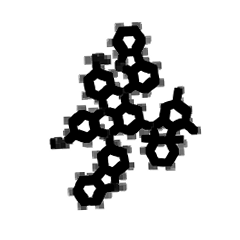 Cc1cc(C)c2c(c1)N(c1cc3c4c(c1)N(c1cccc5c1oc1ccccc15)c1cc(C(C)(C)C)ccc1B4c1ccc(C(C)(C)C)cc1N3c1ccc3sc4ccccc4c3c1)C1(C)CCCCC21C